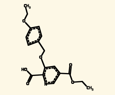 CCOC(=O)c1cnc(C(=O)O)c(OCc2ccc(OCC)cc2)c1